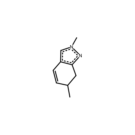 CC1C=Cc2cn(C)nc2C1